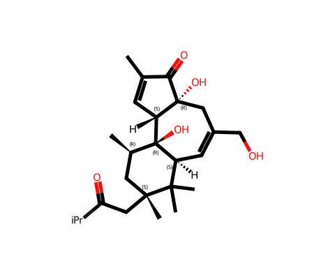 CC1=C[C@H]2[C@@]3(O)[C@H](C)C[C@@](C)(CC(=O)C(C)C)C(C)(C)[C@@H]3C=C(CO)C[C@]2(O)C1=O